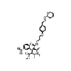 COC(=O)C1=C(c2cccc([N+](=O)[O-])c2)C(C(=O)OCCCOc2ccc(CCOC3CCCCO3)cc2)=C(C)N(I)C1C